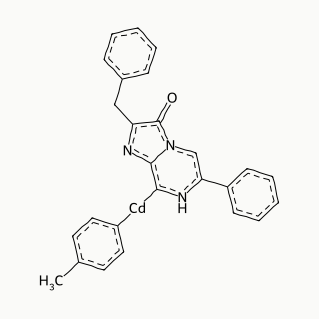 Cc1cc[c]([Cd][c]2[nH]c(-c3ccccc3)cn3c(=O)c(Cc4ccccc4)nc2-3)cc1